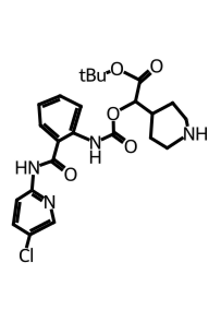 CC(C)(C)OC(=O)C(OC(=O)Nc1ccccc1C(=O)Nc1ccc(Cl)cn1)C1CCNCC1